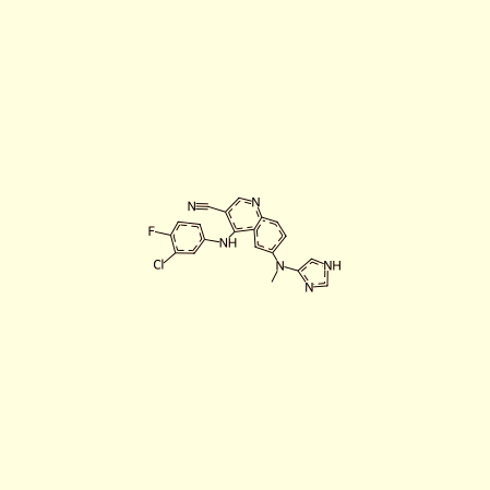 CN(c1ccc2ncc(C#N)c(Nc3ccc(F)c(Cl)c3)c2c1)c1c[nH]cn1